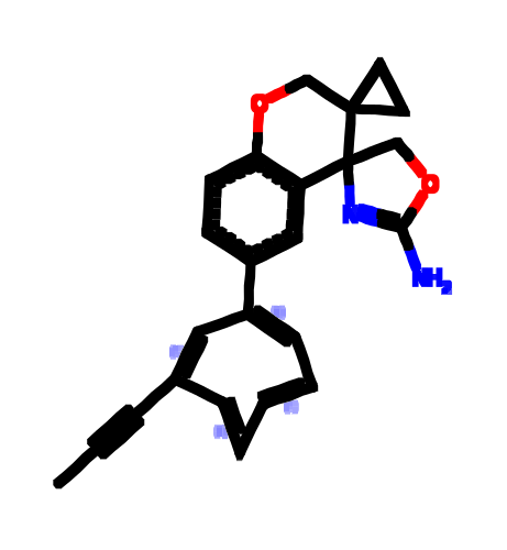 CC#CC1=C/C(c2ccc3c(c2)C2(COC(N)=N2)C2(CC2)CO3)=C\C=C\C=C\1